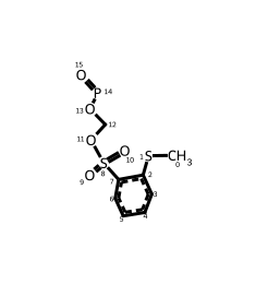 CSc1ccccc1S(=O)(=O)OCOP=O